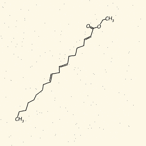 CCCCCCCCC=CCC=CCCCCC=CC(=O)OCC